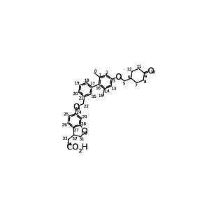 Cc1cc(OCC2CCC(=O)CC2)cc(C)c1-c1cccc(COc2ccc3c(c2)OCC3CC(=O)O)c1